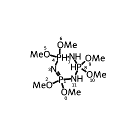 COP1(OC)=N[PH](OC)(OC)N[PH](OC)(OC)N1